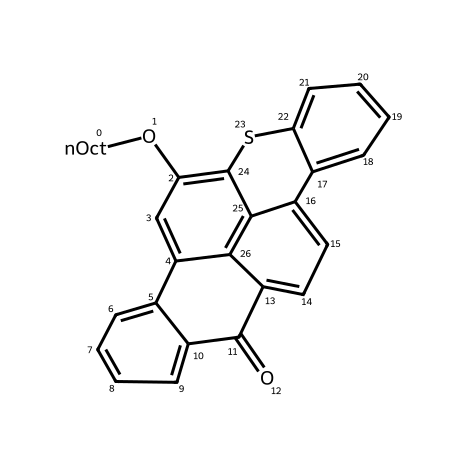 CCCCCCCCOc1cc2c3ccccc3c(=O)c3ccc4c5ccccc5sc1c4c32